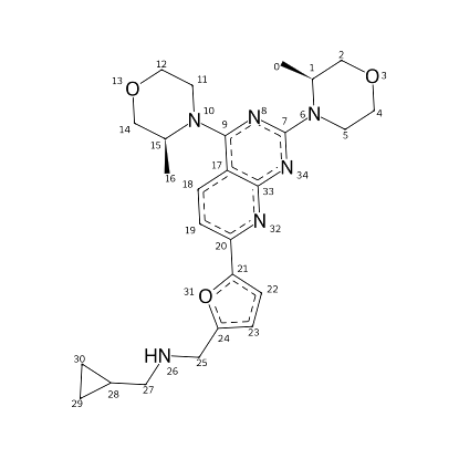 C[C@H]1COCCN1c1nc(N2CCOC[C@@H]2C)c2ccc(-c3ccc(CNCC4CC4)o3)nc2n1